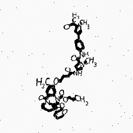 C=CCOC(=O)N1c2cc(OCCCC(=O)Nc3cc(C(=O)Nc4ccc(-c5cc(C(C)=O)n(C)c5)cc4)n(C)c3)c(C)cc2C(=O)N2CCCC[C@H]2C1OC1CCCCO1